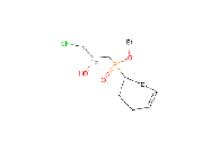 CCOP(=O)(C[C@H](O)CCl)C1CC=CCC1